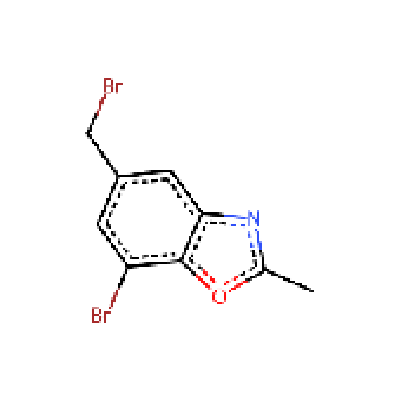 Cc1nc2cc(CBr)cc(Br)c2o1